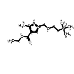 CCOC(=O)c1cn(COCC[Si](C)(C)C)nc1C